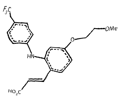 COCCOc1ccc(C=CC(=O)O)c(Nc2ccc(C(F)(F)F)cc2)c1